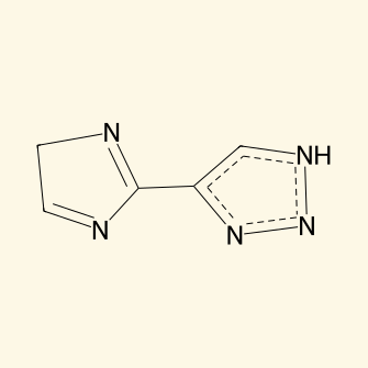 C1=NC(c2c[nH]nn2)=NC1